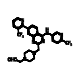 O=CCN1CCN(Cc2nc(Nc3ccc(C(F)(F)F)nc3)c3ccc(-c4ncccc4C(F)(F)F)cc3n2)CC1